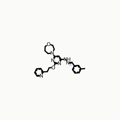 Cc1cccc(/C=N/Nc2cc(N3CCCOCC3)nc(OCCc3ccccn3)n2)c1